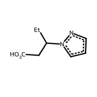 CCC(CC(=O)O)n1cccn1